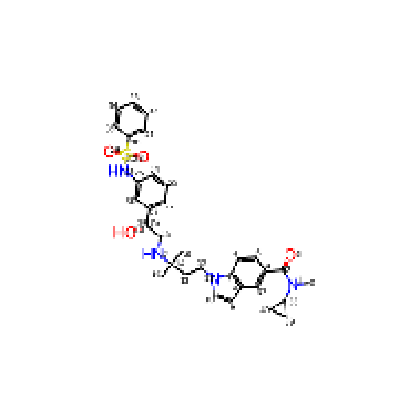 CN(C(=O)c1ccc2c(ccn2CCC(C)(C)NC[C@H](O)c2cccc(NS(=O)(=O)c3ccccc3)c2)c1)C1CC1